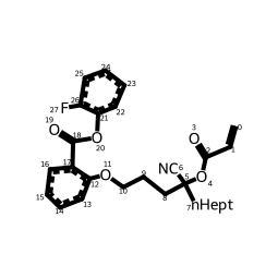 C=CC(=O)OC(C#N)(CCCCCCC)CCCOc1ccccc1C(=O)Oc1cc[c]cc1F